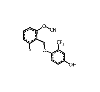 Cc1cccc(OC#N)c1COc1ccc(O)cc1C(F)(F)F